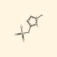 Cn1ccc(CS(=O)(=O)Cl)n1